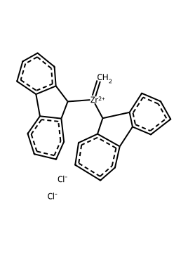 [CH2]=[Zr+2]([CH]1c2ccccc2-c2ccccc21)[CH]1c2ccccc2-c2ccccc21.[Cl-].[Cl-]